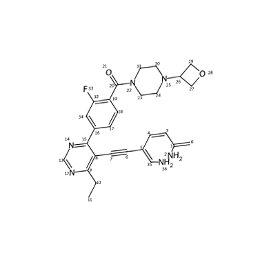 C=C(N)/C=C\C(C#Cc1c(CC)ncnc1-c1ccc(C(=O)N2CCN(C3COC3)CC2)c(F)c1)=C/N